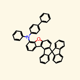 c1ccc(-c2ccc(N(c3ccccc3)c3cccc4c3oc3ccc5c(c34)-c3ccccc3C53c4ccccc4-c4ccccc43)cc2)cc1